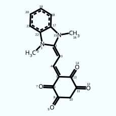 CN1C(=CC=C2C(=O)C(=O)CC(=O)C2=O)N(C)c2ccccc21